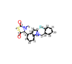 CN1C(=O)SC(=O)C1c1cccc2c1ccn2Cc1ccccc1F